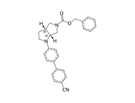 N#Cc1ccc(-c2ccc(N3CC[C@@H]4CN(C(=O)OCc5ccccc5)C[C@@H]43)cc2)cc1